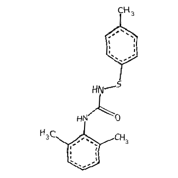 Cc1ccc(SNC(=O)Nc2c(C)cccc2C)cc1